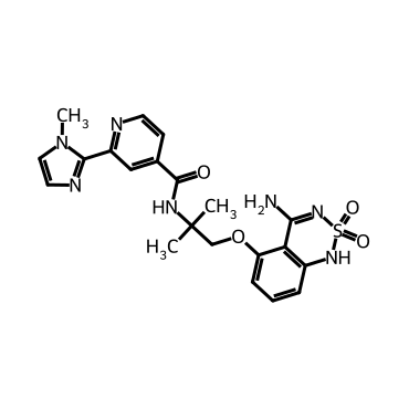 Cn1ccnc1-c1cc(C(=O)NC(C)(C)COc2cccc3c2C(N)=NS(=O)(=O)N3)ccn1